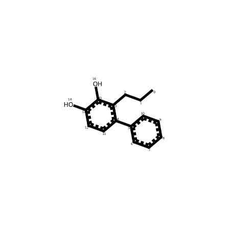 CCCc1c(-c2ccccc2)ccc(O)c1O